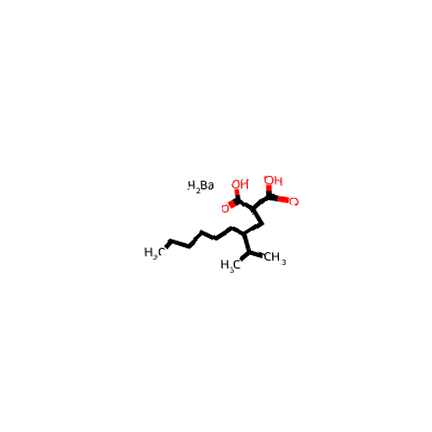 CCCCCCC(CC(C(=O)O)C(=O)O)C(C)C.[BaH2]